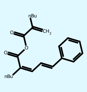 C=C(CCCC)C(=O)OC(=O)C(=CC=Cc1ccccc1)CCCC